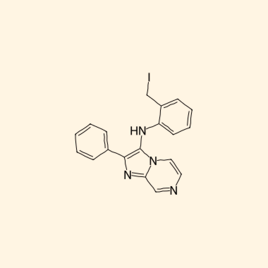 ICc1ccccc1Nc1c(-c2ccccc2)nc2cnccn12